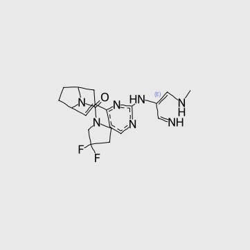 CN/C=C(\C=N)Nc1nccc(C2=CC3CCC(C2)N3C(=O)N2CCC(F)(F)C2)n1